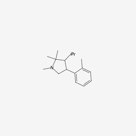 Cc1ccccc1C1CN(C)C(C)(C)C1C(C)C